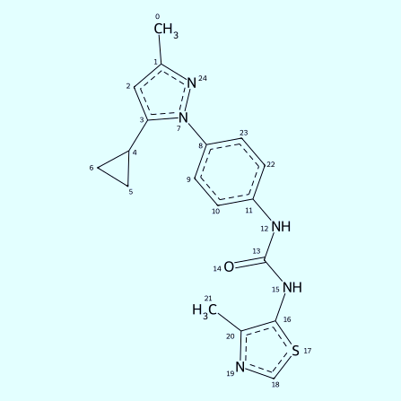 Cc1cc(C2CC2)n(-c2ccc(NC(=O)Nc3scnc3C)cc2)n1